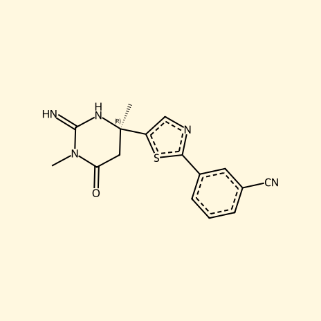 CN1C(=N)N[C@@](C)(c2cnc(-c3cccc(C#N)c3)s2)CC1=O